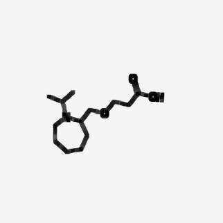 CC(C)N1CCCCCC1COCCC(=O)O